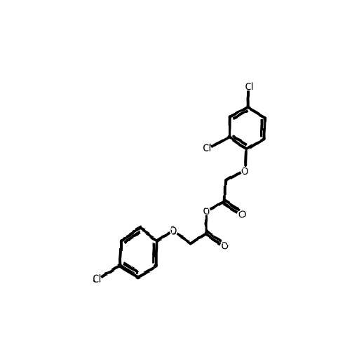 O=C(COc1ccc(Cl)cc1)OC(=O)COc1ccc(Cl)cc1Cl